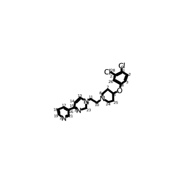 Clc1ccc(OC2CCN(CCN3C=CC(c4cccnc4)=NC3)CC2)cc1Cl